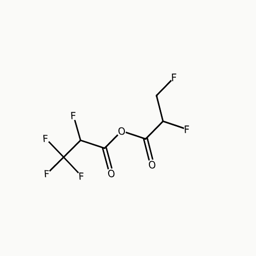 O=C(OC(=O)C(F)C(F)(F)F)C(F)CF